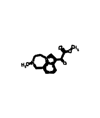 COC(=O)C(=O)c1cn2c3c(cccc13)CN(C)CC2